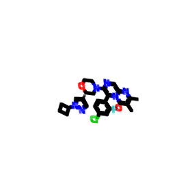 Cc1nc2cnc(N3CCO[C@@H](c4cnn(C5CCC5)c4)C3)c(-c3ccc(Cl)cc3F)n2c(=O)c1C